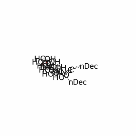 CCCCCCCCCCCCC/C=C/[C@@H](O)[C@H](CO[C@@H]1OC(CO)[C@@H](O[C@@H]2OC(CO)[C@H](O[C@@H]3OC(CO)[C@H](O)[C@H](O)C3O)[C@H](O)C2O)[C@H](O)C1O)NC(=O)CCCCCCCCCCCCCCCCCCC